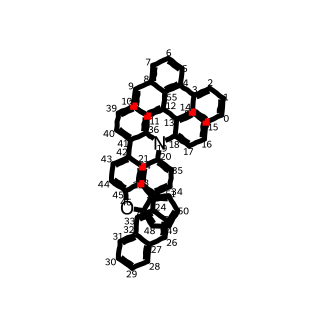 c1ccc(-c2cccc3cccc(-c4ccccc4N(c4ccc(-c5ccc6ccccc6c5)cc4)c4ccccc4-c4ccc5oc6ccccc6c5c4)c23)cc1